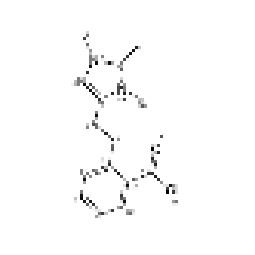 CC1N(C)N=C(SCc2ccccc2C(=O)O)N1C